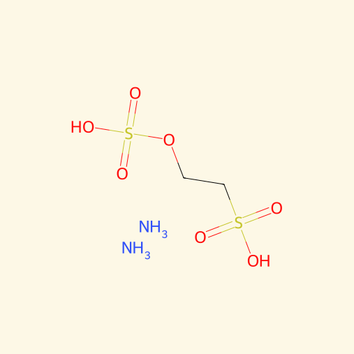 N.N.O=S(=O)(O)CCOS(=O)(=O)O